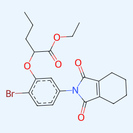 CCCC(Oc1cc(N2C(=O)C3=C(CCCC3)C2=O)ccc1Br)C(=O)OCC